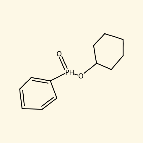 O=[PH](OC1CCCCC1)c1ccccc1